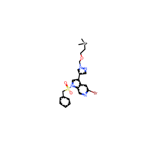 C[Si](C)(C)CCOCn1cc(-c2cn(S(=O)(=O)Cc3ccccc3)c3cnc(Br)cc23)cn1